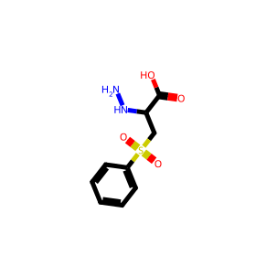 NNC(CS(=O)(=O)c1ccccc1)C(=O)O